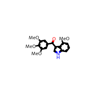 COc1cc(C(=O)c2c[nH]c3cccc(OC)c23)cc(OC)c1OC